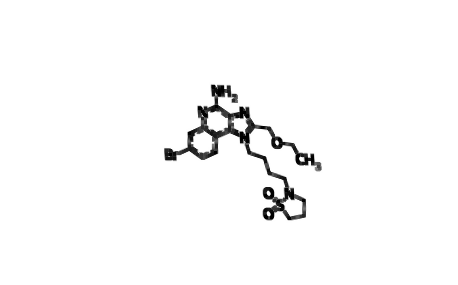 CCOCc1nc2c(N)nc3cc(Br)ccc3c2n1CCCCN1CCCS1(=O)=O